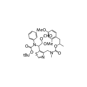 COc1ccc(CC(C)OC(=O)N(C)Cc2ncsc2C(COC=O)N(C(=O)OC(C)(C)C)c2ccccc2)c(OC)c1